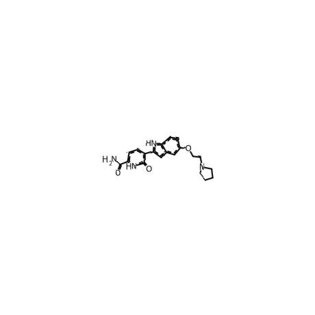 NC(=O)c1[c]cc(-c2cc3cc(OCCN4CCCC4)ccc3[nH]2)c(=O)[nH]1